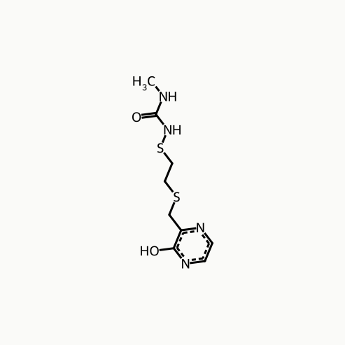 CNC(=O)NSCCSCc1nccnc1O